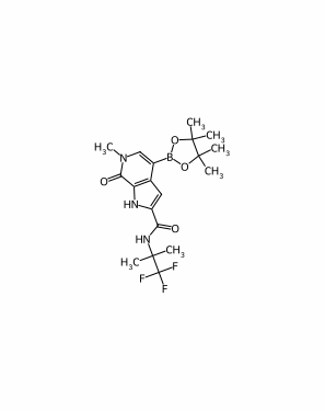 Cn1cc(B2OC(C)(C)C(C)(C)O2)c2cc(C(=O)NC(C)(C)C(F)(F)F)[nH]c2c1=O